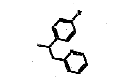 CC(Cc1ccccn1)c1ccc(Br)cc1